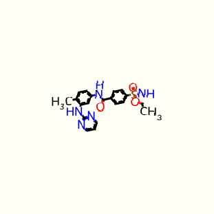 CCOS(=N)(=O)c1ccc(C(=O)Nc2ccc(C)c(Nc3ncccn3)c2)cc1